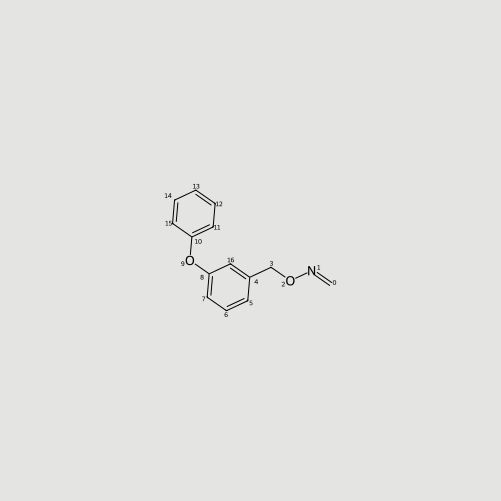 C=NOCc1cccc(Oc2ccccc2)c1